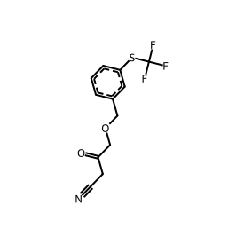 N#CCC(=O)COCc1cccc(SC(F)(F)F)c1